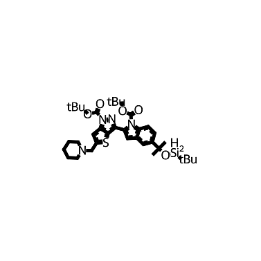 CC(C)(C)OC(=O)n1nc(-c2cc3cc(C(C)(C)O[SiH2]C(C)(C)C)ccc3n2C(=O)OC(C)(C)C)c2sc(CN3CCCCC3)cc21